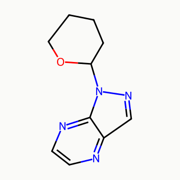 c1cnc2c(cnn2C2CCCCO2)n1